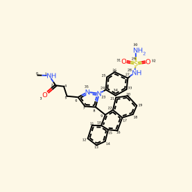 CNC(=O)CCc1cc(-c2c3ccccc3cc3ccccc23)n(-c2ccc(NS(N)(=O)=O)cc2)n1